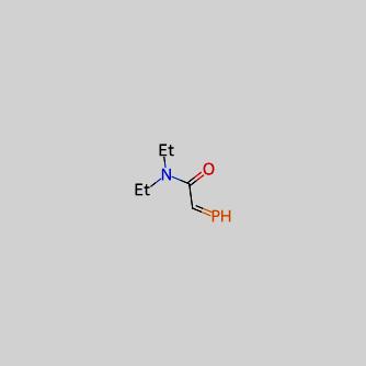 CCN(CC)C(=O)C=P